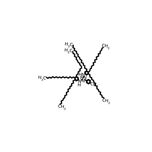 [CH2]c1ccc(-c2nc(Nc3cc(CCCCCCCCCCCCCCCCCC)c(CCCCCCCCCCCCCCCCCC)c(CCCCCCCCCCCCCCCCCC)c3)nc(Nc3cc(CCCCCCCCCCCCCCCCCC)c(CCCCCCCCCCCCCCCCCC)c(CCCCCCCCCCCCCCCCCC)c3)n2)cc1